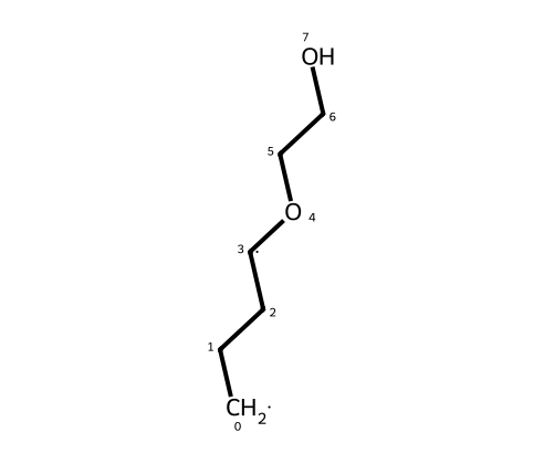 [CH2]CC[CH]OCCO